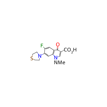 CNn1cc(C(=O)O)c(=O)c2cc(F)c(N3CCSCC3)cc21